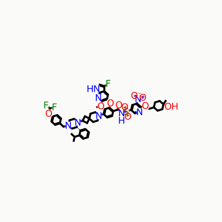 COc1nc2[nH]cc(F)c2cc1Oc1cc(N2CCC3(CC2)CC(N2CCN(Cc4ccc(OC(F)F)cc4)C[C@H]2c2ccccc2C(C)C)C3)ccc1C(=O)NS(=O)(=O)c1cnc(OCC2CCC(C)(O)CC2)c([N+](=O)[O-])c1